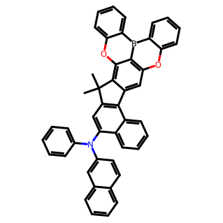 CC1(C)c2cc(N(c3ccccc3)c3ccc4ccccc4c3)c3ccccc3c2-c2cc3c4c(c21)Oc1ccccc1B4c1ccccc1O3